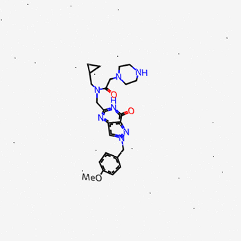 COc1ccc(Cn2cc3nc(CN(CC4CC4)C(=O)CN4CCNCC4)[nH]c(=O)c3n2)cc1